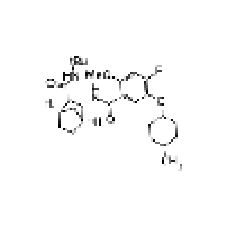 COc1cc(F)c(O[C@H]2CC[C@H](C)CC2)cc1C(=O)N[C@@H]1[C@H]2CC[C@H](C2)[C@@H]1C(=O)NC(C)(C)C